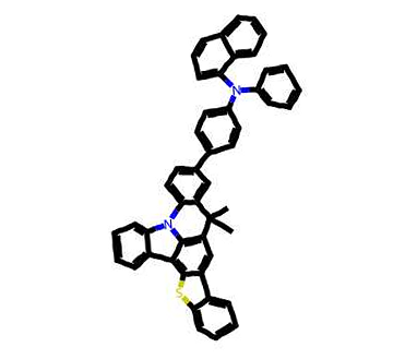 CC1(C)c2cc(-c3ccc(N(c4ccccc4)c4cccc5ccccc45)cc3)ccc2-n2c3ccccc3c3c4sc5ccccc5c4cc1c32